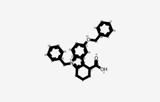 O=C(O)C1CCCc2c1c1cc(OCc3ccccc3)ccc1n2Cc1ccccc1